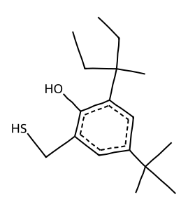 CCC(C)(CC)c1cc(C(C)(C)C)cc(CS)c1O